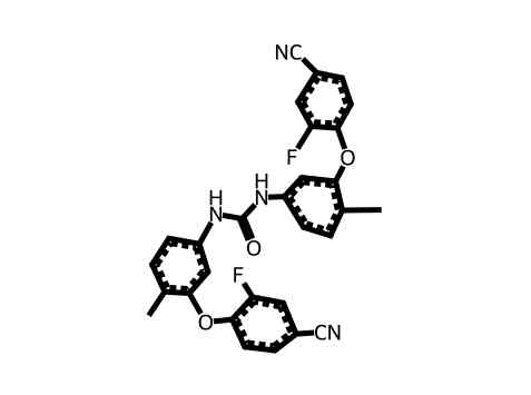 Cc1ccc(NC(=O)Nc2ccc(C)c(Oc3ccc(C#N)cc3F)c2)cc1Oc1ccc(C#N)cc1F